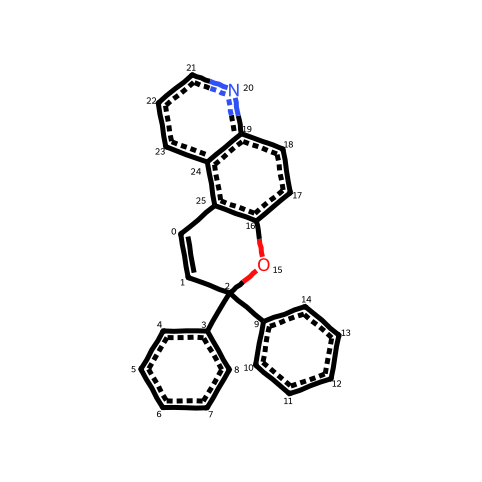 C1=CC(c2ccccc2)(c2ccccc2)Oc2ccc3ncccc3c21